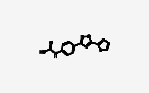 O=C(O)Nc1ccc(-c2noc(-c3nccs3)n2)cc1